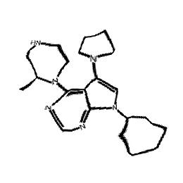 C[C@H]1CNCCN1c1ncnc2c1c(N1CCCC1)cn2C1CCCCC1